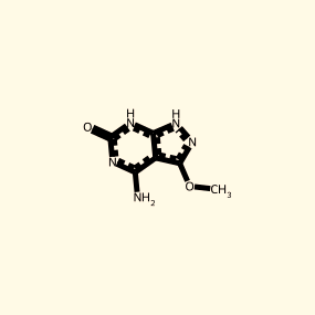 COc1n[nH]c2[nH]c(=O)nc(N)c12